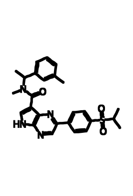 Cc1cccc(C(C)N(C)C(=O)c2c[nH]c3ncc(-c4ccc(S(=O)(=O)C(C)C)cc4)nc23)c1